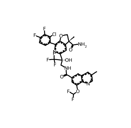 Cc1cnc2c(OC(F)F)cc(C(=O)NC[C@](O)(c3cc4c(c(-c5ccc(F)c(F)c5Cl)n3)OC[C@]4(C)C(N)=O)C(F)(F)F)cc2c1